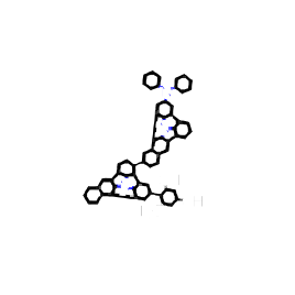 Cc1cc(C)c(-c2cc3c4c(-c5ccc6cc7c8cccc9c%10cc(N(c%11ccccc%11)c%11ccccc%11)cc%11c(c6c5)c7n(c98)c%10%11)ccc5c6cc7ccccc7c7c(c2)c3n(c54)c67)c(C)c1